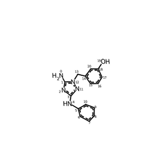 Nc1nc(Nc2ccccc2)nn1Cc1cccc(O)c1